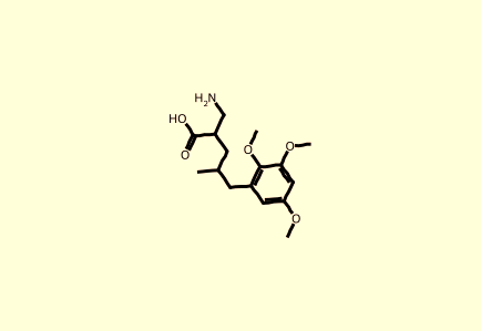 COc1cc(CC(C)CC(CN)C(=O)O)c(OC)c(OC)c1